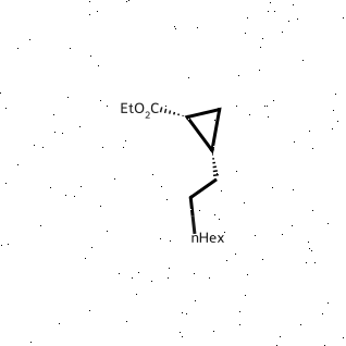 CCCCCCCC[C@H]1C[C@H]1C(=O)OCC